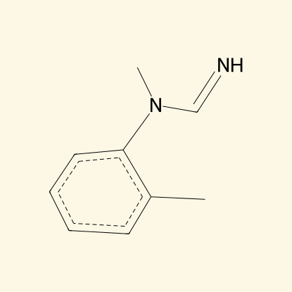 Cc1ccccc1N(C)C=N